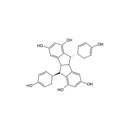 OC1=CC[C@H](C2c3c(O)cc(O)cc3C3C2c2cc(O)cc(O)c2C3[C@@H]2C=CC(O)=CC2)C=C1